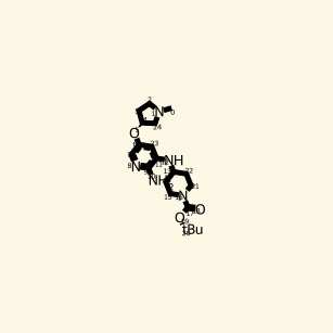 CN1CC[C@@H](Oc2cnc(N)c(NC3CCN(C(=O)OC(C)(C)C)CC3)c2)C1